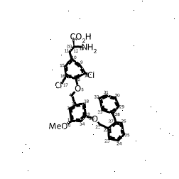 COc1cc(COc2c(Cl)cc(C[C@H](N)C(=O)O)cc2Cl)cc(OCc2ccccc2-c2ccccc2)c1